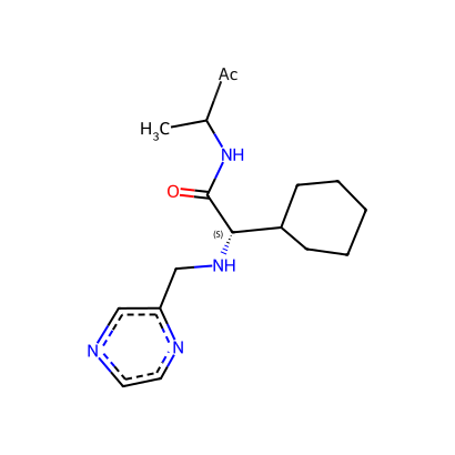 CC(=O)C(C)NC(=O)[C@@H](NCc1cnccn1)C1CCCCC1